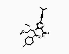 CC[C@@H](COC)N(c1cc(C#CC(C)C)sc1C(=O)O)C(=O)[C@H]1CC[C@@H](C)CC1